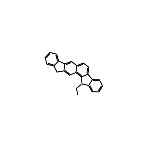 CCn1c2ccccc2c2ccc3cc4c(cc3c21)Cc1ccccc1-4